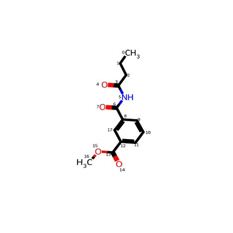 CCCC(=O)NC(=O)c1cccc(C(=O)OC)c1